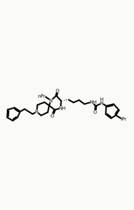 CCCN1C(=O)[C@H](CCCCNC(=O)Nc2ccc(C(C)C)cc2)NC(=O)C12CCN(CCc1ccccc1)CC2